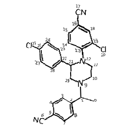 CC(c1ccc(C#N)cc1)N1CCN(c2ccc(C#N)cc2Cl)C(c2ccc(Cl)cc2)C1